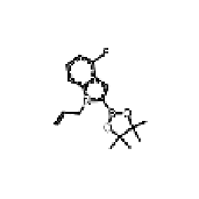 C=CCn1c(B2OC(C)(C)C(C)(C)O2)cc2c(F)cccc21